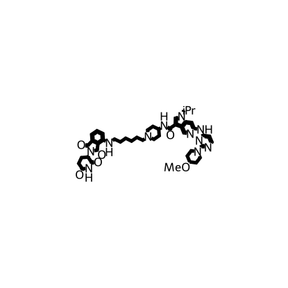 COC1CCN(c2nccc(Nc3cc4c(cn3)c(C(=O)NC3CCN(CCCCCCNc5cccc6c5C(=O)N(C5CCC(=O)NC5=O)C6=O)CC3)cn4C(C)C)n2)CC1